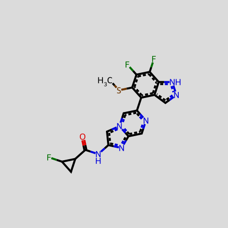 CSc1c(F)c(F)c2[nH]ncc2c1-c1cn2cc(NC(=O)C3CC3F)nc2cn1